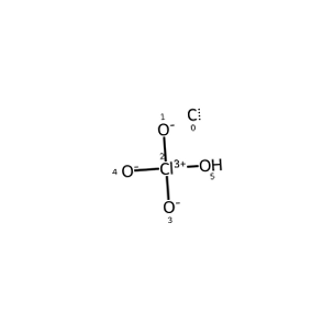 [C].[O-][Cl+3]([O-])([O-])O